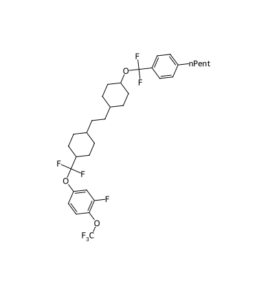 CCCCCc1ccc(C(F)(F)OC2CCC(CCC3CCC(C(F)(F)Oc4ccc(OC(F)(F)F)c(F)c4)CC3)CC2)cc1